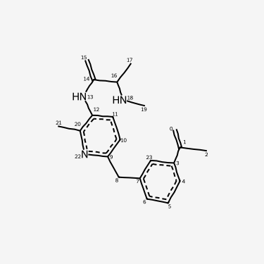 C=C(C)c1cccc(Cc2ccc(NC(=C)C(C)NC)c(C)n2)c1